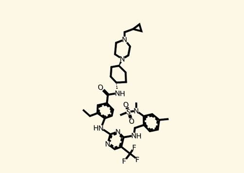 CCc1cc(C(=O)N[C@H]2CC[C@H](N3CCN(CC4CC4)CC3)CC2)ccc1Nc1ncc(C(F)(F)F)c(NCc2ccc(C)cc2N(C)S(C)(=O)=O)n1